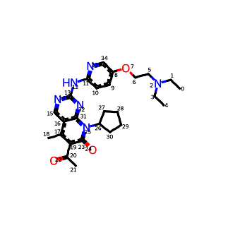 CCN(CC)CCOc1ccc(Nc2ncc3c(C)c(C(C)=O)c(=O)n(C4CCCC4)c3n2)nc1